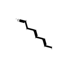 C/C=C/C=C/CC=O